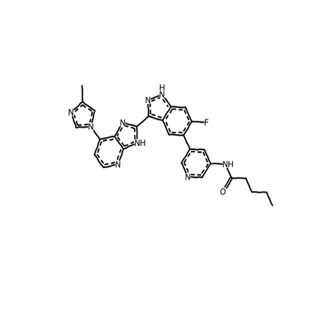 CCCCC(=O)Nc1cncc(-c2cc3c(-c4nc5c(-n6cnc(C)c6)ccnc5[nH]4)n[nH]c3cc2F)c1